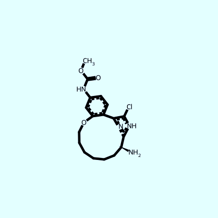 COC(=O)Nc1ccc2c(c1)OCCCCCC[C@H](N)c1nc-2c(Cl)[nH]1